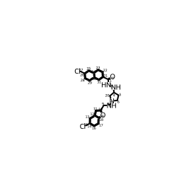 O=C(NNC1CCN(NCc2cc3cc(Cl)ccc3o2)C1)c1ccc2cc(Cl)ccc2c1